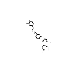 Cc1ccc(CCN(C)Cc2cccc(NC3=CC(=O)N(C4CCC(=O)NC4=O)C3=O)c2)cc1Cl